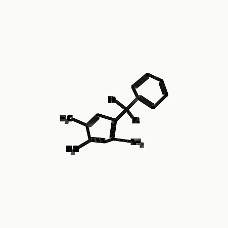 CCC(CC)(c1ccccc1)c1cc(C)c(N)cc1N